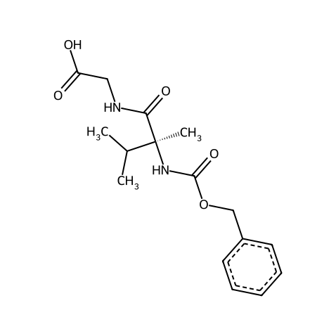 CC(C)[C@](C)(NC(=O)OCc1ccccc1)C(=O)NCC(=O)O